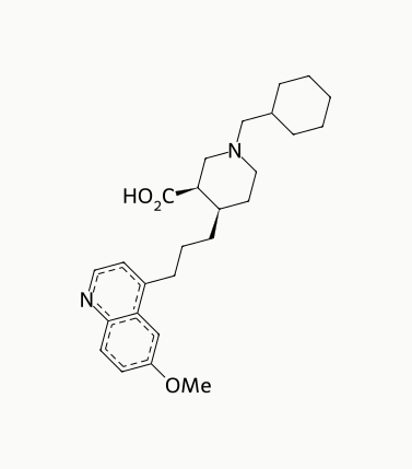 COc1ccc2nccc(CCC[C@@H]3CCN(CC4CCCCC4)C[C@@H]3C(=O)O)c2c1